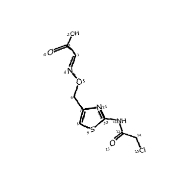 O=C(O)C=NOCc1csc(NC(=O)CCl)n1